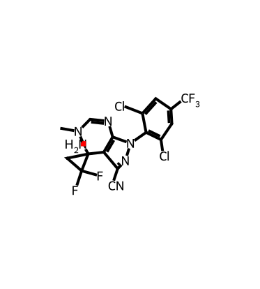 CN(C)/C=N\c1c(C2(N)CC2(F)F)c(C#N)nn1-c1c(Cl)cc(C(F)(F)F)cc1Cl